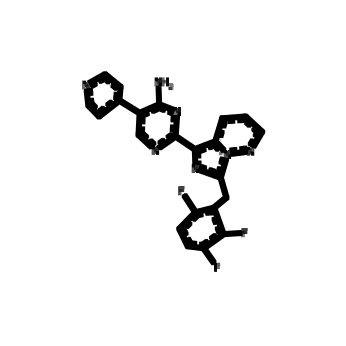 Nc1nc(-c2nc(Cc3c(F)ccc(F)c3F)n3ncccc23)ncc1-c1ccncc1